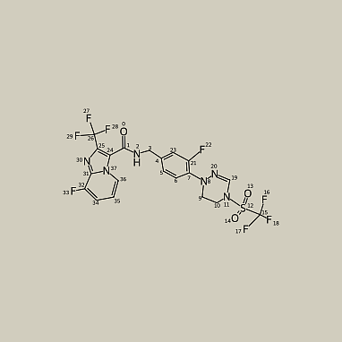 O=C(NCc1ccc(N2CCN(S(=O)(=O)C(F)(F)F)C=N2)c(F)c1)c1c(C(F)(F)F)nc2c(F)cccn12